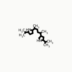 CC(C)C1CC(C(C)CCC(C)C2CCC(C(C)C)N2)CN1